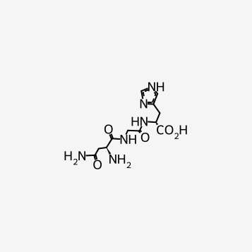 NC(=O)C[C@H](N)C(=O)NCC(=O)N[C@@H](Cc1c[nH]cn1)C(=O)O